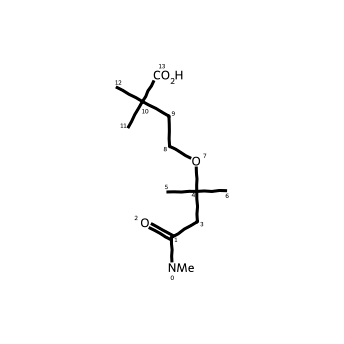 CNC(=O)CC(C)(C)OCCC(C)(C)C(=O)O